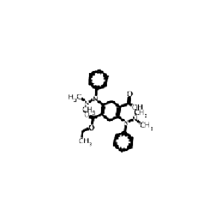 CCOC(=O)C1=C(N(c2ccccc2)N(C)C)CC(C(=O)O)=C(N(c2ccccc2)N(C)C)C1